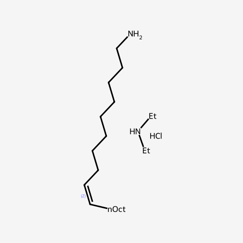 CCCCCCCC/C=C\CCCCCCCCN.CCNCC.Cl